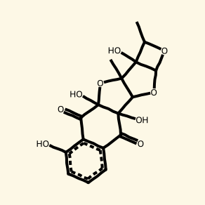 CC1OC2OC3C(C)(OC4(O)C(=O)c5c(O)cccc5C(=O)C34O)C12O